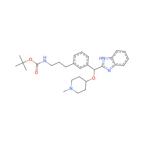 CN1CCC(OC(c2cccc(CCCNC(=O)OC(C)(C)C)c2)c2nc3ccccc3[nH]2)CC1